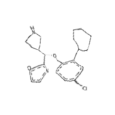 Clc1ccc(O[C@H](c2ncco2)C2CCNC2)c(C2CCCCC2)c1